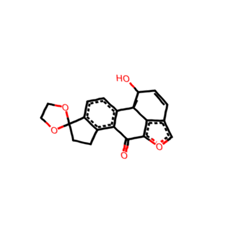 CC12c3ccc4c(c3C(=O)c3occ(c31)C=CC2O)CCC41OCCO1